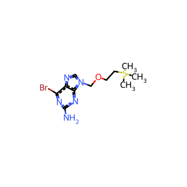 CS(C)(C)CCOCn1cnc2c(Br)nc(N)nc21